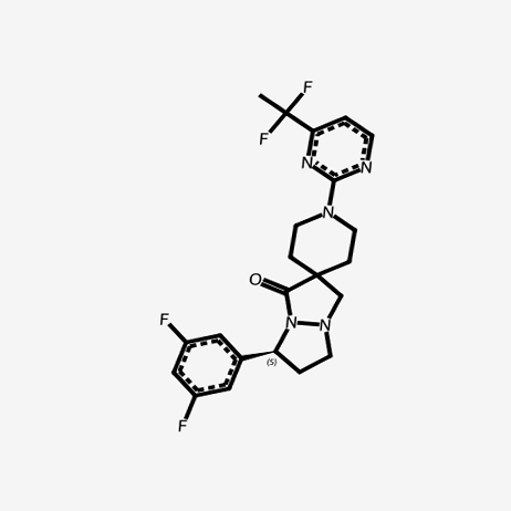 CC(F)(F)c1ccnc(N2CCC3(CC2)CN2CC[C@@H](c4cc(F)cc(F)c4)N2C3=O)n1